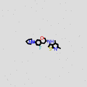 Cc1cc(C)c2c(N[C@H]3COc4cc(N5CC6CC(C5)N6)cc(F)c4C3)csc2n1